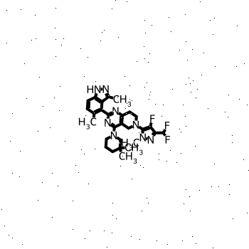 Cc1ccc2[nH]nc(C)c2c1-c1nc2c(c(N3CCCC(C)(C)C3)n1)CN(c1c(F)c(C(F)F)nn1C)CC2